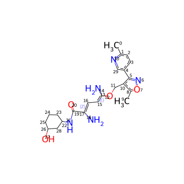 Cc1ccc(-c2noc(C)c2CO/C(N)=C/C=C(\N)C(=O)NC2CCCC(O)C2)cn1